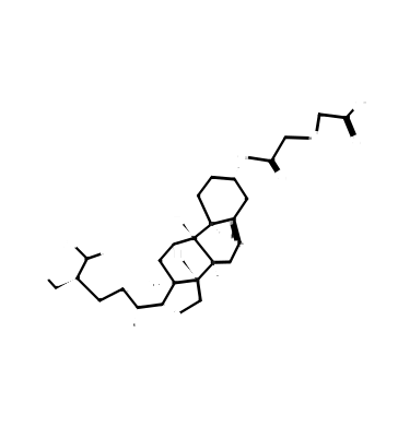 CC[C@H](CC[C@@H](C)[C@H]1CC[C@H]2[C@@H]3CC=C4C[C@@H](OC(=O)COCC(=O)O)CC[C@]4(C)[C@H]3CC[C@]12C)C(C)C